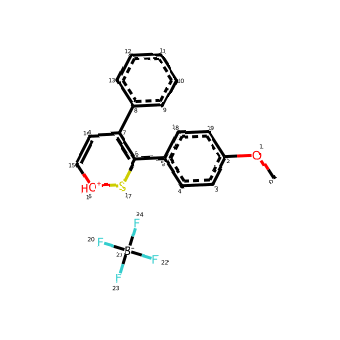 COc1ccc(C2=C(c3ccccc3)C=C[OH+]S2)cc1.F[B-](F)(F)F